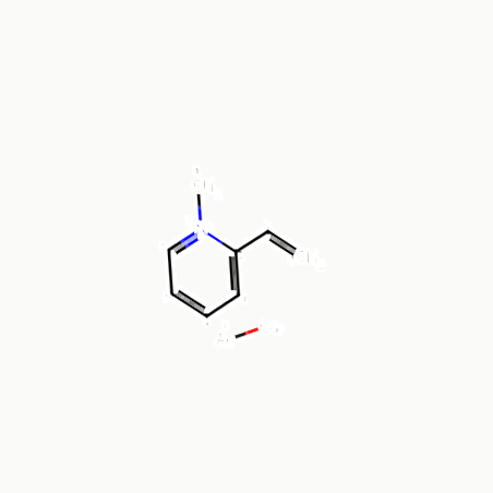 C=Cc1cccc[n+]1C.CC(=O)[O-]